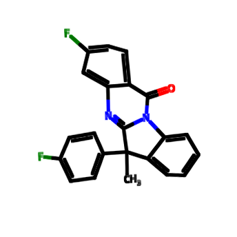 CC1(c2ccc(F)cc2)c2ccccc2-n2c1nc1cc(F)ccc1c2=O